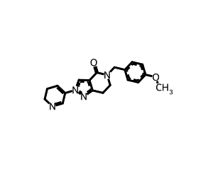 COc1ccc(CN2CCc3nn(C4=CCCN=C4)cc3C2=O)cc1